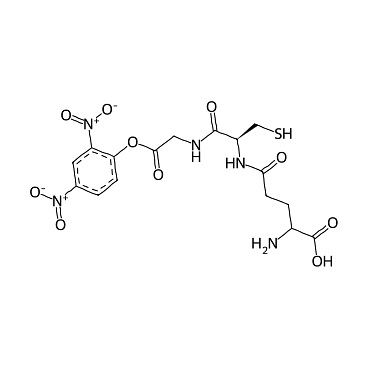 NC(CCC(=O)N[C@H](CS)C(=O)NCC(=O)Oc1ccc([N+](=O)[O-])cc1[N+](=O)[O-])C(=O)O